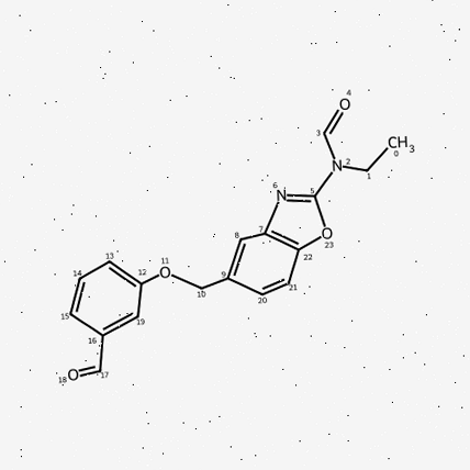 CCN(C=O)c1nc2cc(COc3cccc(C=O)c3)ccc2o1